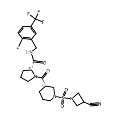 N#CC1CN(S(=O)(=O)N2CCC[C@H](C(=O)N3CCC[C@@H]3C(=O)NCc3cc(C(F)(F)F)ccc3F)C2)C1